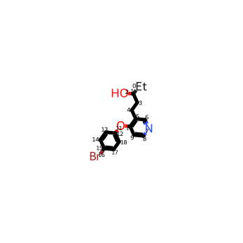 CCC(O)CCc1cnccc1Oc1ccc(Br)cc1